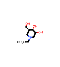 O=C(O)CN1C[C@@H](CO)[C@H](O)[C@@H](O)C1